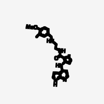 COc1ccc(CNCCNC(=O)c2sccc2Nc2ccnc3[nH]ccc23)cc1C